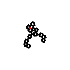 C1=Cc2ccc3c(c2CC1)CC(c1ccc(N(C2=CC=C(c4ccc5ccc6ccccc6c5c4)CC2)c2cccc4c2-c2ccccc2C4c2ccccc2-c2ccccc2)cc1)C=C3